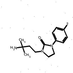 CC(C)(N)CCN1CCN(c2ccc(F)cc2)C1=O